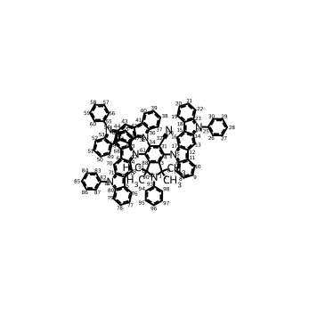 CC1(C)c2c(-n3c4ccccc4c4cc5c(cc43)c3ccccc3n5-c3ccccc3)c(C#N)c(-n3c4ccccc4c4cc5c(cc43)c3ccccc3n5-c3ccccc3)c(-n3c4ccccc4c4cc5c(cc43)c3ccccc3n5-c3ccccc3)c2C(C)(C)N1c1ccccc1